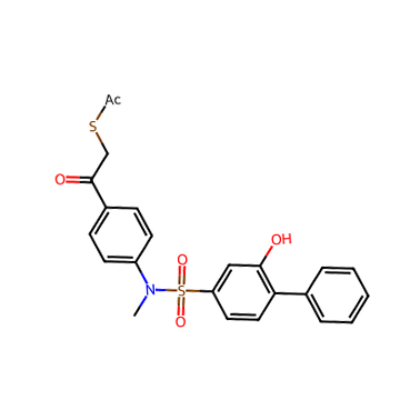 CC(=O)SCC(=O)c1ccc(N(C)S(=O)(=O)c2ccc(-c3ccccc3)c(O)c2)cc1